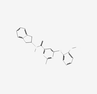 COc1ccccc1Nc1cc(C(=O)N(C)C2Cc3ccccc3C2)nc(Cl)n1